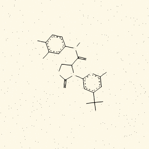 Cc1cc(C(F)(F)F)cc(N2C(=O)OCC2C(=O)N(C)c2ccc(F)c(Cl)c2)n1